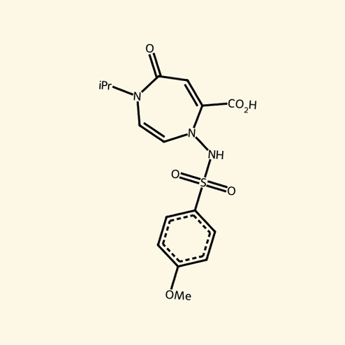 COc1ccc(S(=O)(=O)NN2C=CN(C(C)C)C(=O)C=C2C(=O)O)cc1